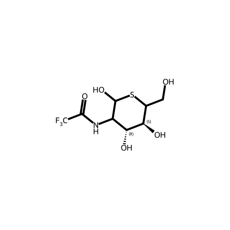 O=C(NC1C(O)SC(CO)[C@@H](O)[C@@H]1O)C(F)(F)F